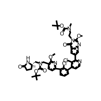 COc1nc(-c2cccc(-c3ccnc(-c4cc5c(=O)n(CCN(C)C(=O)OC(C)(C)C)c(OC)nn5c4)c3Cl)c2Cl)ccc1CN(C[C@@H]1CCC(=O)N1)C(=O)OC(C)(C)C